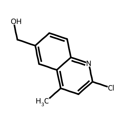 Cc1cc(Cl)nc2ccc(CO)cc12